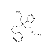 CCC(CCO)(C1=CC=CC1)C1CCC2C=CC=CC21.[Cl-].[Cl-].[Zr+2]